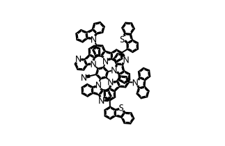 N#Cc1c(-n2c3ccccc3c3ncccc32)c(-n2c3ccc(-c4cccc5c4sc4ccccc45)cc3c3cc(-n4c5ccccc5c5ccccc54)ccc32)c(-n2c3ccccc3c3ncccc32)c(-n2c3ccc(-c4cccc5c4sc4ccccc45)cc3c3cc(-n4c5ccccc5c5ccccc54)ccc32)c1-n1c2ccccc2c2ncccc21